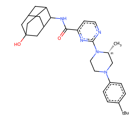 C[C@@H]1CN(c2ccc(C(C)(C)C)cc2)CCN1c1nccc(C(=O)NC2C3CC4CC2CC(O)(C4)C3)n1